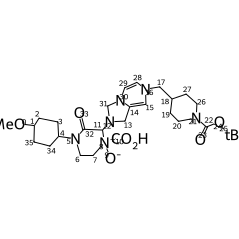 COC1CCC(N2CC[N+]([O-])(C(=O)O)C(N3CC4=CN(CC5CCN(C(=O)OC(C)(C)C)CC5)C=CN4C3)C2=O)CC1